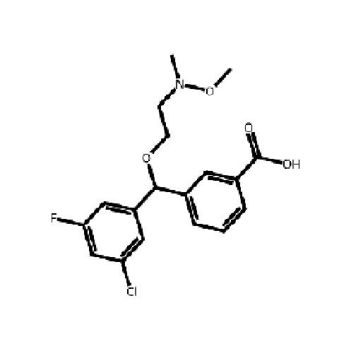 CON(C)CCOC(c1cc(F)cc(Cl)c1)c1cccc(C(=O)O)c1